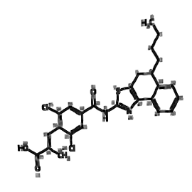 CCCCC1Cc2sc(NC(=O)c3cc(Cl)c(/C=C(\C)C(=O)O)c(Cl)c3)nc2-c2ccccc21